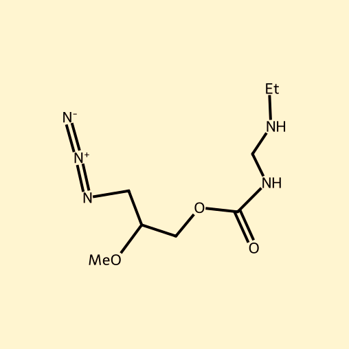 CCNCNC(=O)OCC(CN=[N+]=[N-])OC